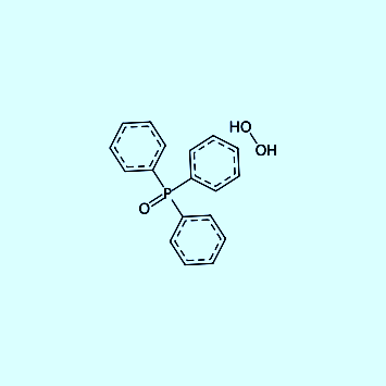 O=P(c1ccccc1)(c1ccccc1)c1ccccc1.OO